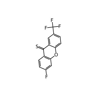 Fc1ccc2c(=S)c3cc(C(F)(F)F)ccc3oc2c1